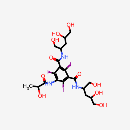 CC(O)C(=O)Nc1c(I)c(C(=O)NC(CO)CC(O)CO)c(I)c(C(=O)NC(CO)CC(O)CO)c1I